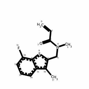 C=CC(=O)N(C)Cc1sc2c(F)cccc2c1C